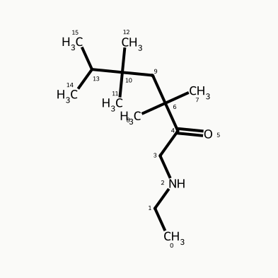 CCNCC(=O)C(C)(C)CC(C)(C)C(C)C